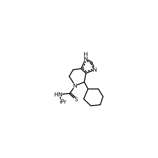 CC(C)NC(=S)N1CCc2[nH]cnc2C1C1CCCCC1